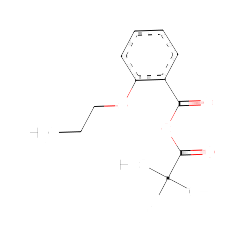 CCCOc1ccccc1C(=O)OC(=O)C(C)(C)C